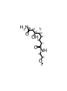 COCCNC(=O)CCC[C@@H](C)[C@@H](O)CC(N)=O